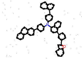 c1cc(-c2cc3ccccc3o2)cc(-c2ccc(N(c3ccc(-c4ccc5c(ccc6ccccc65)c4)cc3)c3ccc(-c4cccc5ccccc45)cc3)c3ccccc23)c1